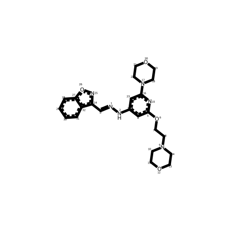 C(=NNc1cc(OCCN2CCOCC2)nc(N2CCOCC2)c1)c1noc2ccccc12